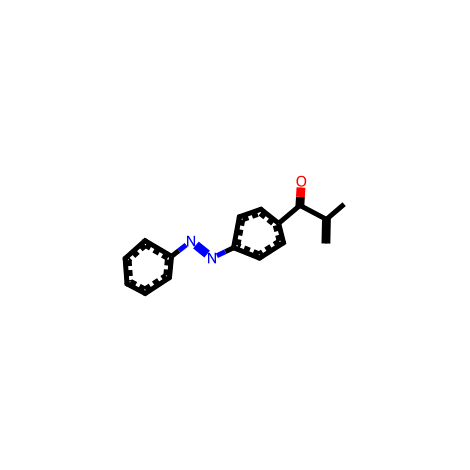 C=C(C)C(=O)c1ccc(N=Nc2ccccc2)cc1